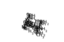 CC(C)[C@H](N)C(=O)O.CC[C@H](C)[C@H](N)C(=O)OC(=O)[C@@H](N)CCCNC(=N)N.N[C@@H](Cc1ccc(OC(=O)[C@@H](N)Cc2c[nH]cn2)cc1)C(=O)O.O=C(O)[C@@H]1CCCN1